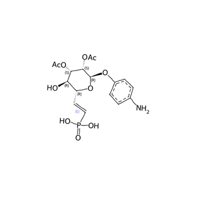 CC(=O)O[C@@H]1[C@@H](Oc2ccc(N)cc2)O[C@H](/C=C/P(=O)(O)O)[C@@H](O)[C@@H]1OC(C)=O